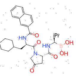 CC(C)[C@H](NC(=O)[C@@H]1CC(=O)CN1C(=O)[C@@H](CC1CCCCC1)NC(=O)c1ccc2ccccc2c1)B(O)O